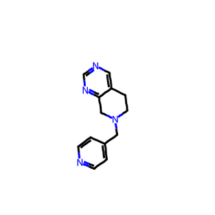 c1cc(CN2CCc3cncnc3C2)ccn1